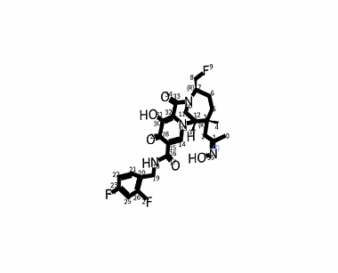 C/C(C[C@@]1(C)CC[C@H](CF)N2C[C@H]1n1cc(C(=O)NCc3ccc(F)cc3F)c(=O)c(O)c1C2=O)=N/O